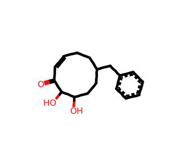 O=C1C=CCCC(Cc2ccccc2)CCC(O)C1O